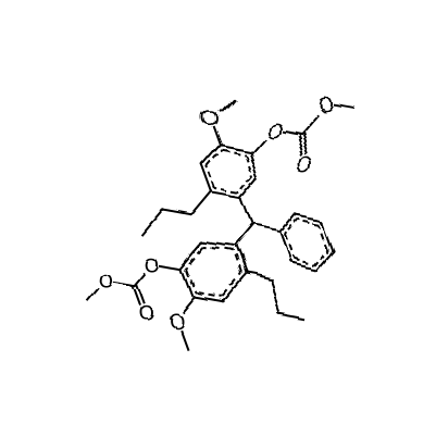 CCCc1cc(OC)c(OC(=O)OC)cc1C(c1ccccc1)c1cc(OC(=O)OC)c(OC)cc1CCC